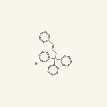 C(=Cc1ccccc1)C[P+](c1ccccc1)(c1ccccc1)c1ccccc1.[Br-]